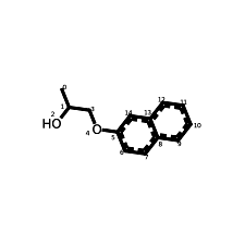 CC(O)COc1ccc2ccccc2c1